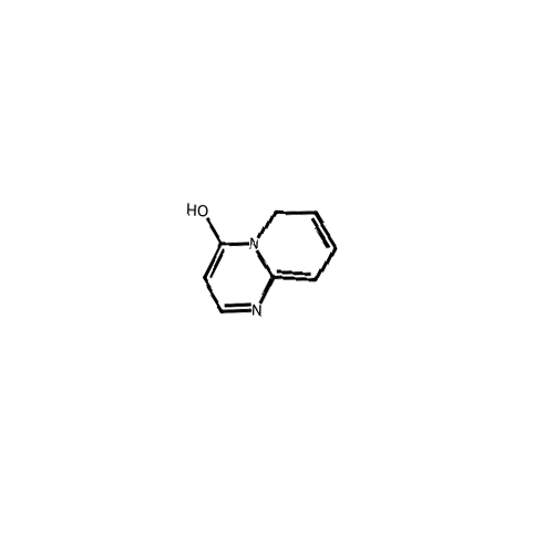 OC1=CC=NC2=CC=CCN12